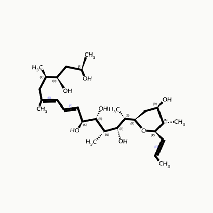 C/C=C/[C@H]1O[C@@H]([C@@H](C)[C@H](O)[C@H](C)[C@@H](O)[C@@H](O)/C=C/C=C(\C)C[C@@H](C)[C@H](O)C[C@@H](C)O)C[C@@H](O)[C@@H]1C